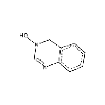 ON1C=Nc2ccccc2C1